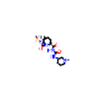 O=C(NC(=O)[C@@H]1CCC2CN1C(=O)N2OS(=O)(=O)O)NC1CCCNC1